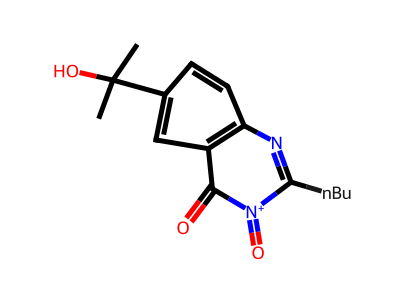 CCCCC1=Nc2ccc(C(C)(C)O)cc2C(=O)[N+]1=O